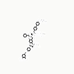 CC[C@@H](c1ccccc1)N1Cc2cc3c(cc2C[C@H]1C(=O)N[C@@H](Cc1ccc(-c2ccc(OC)cc2)cc1)C(=O)O)N(C)C(=O)[C@@H](c1ccc(OCc2ccc(Cl)c(Cl)c2)cc1)O3